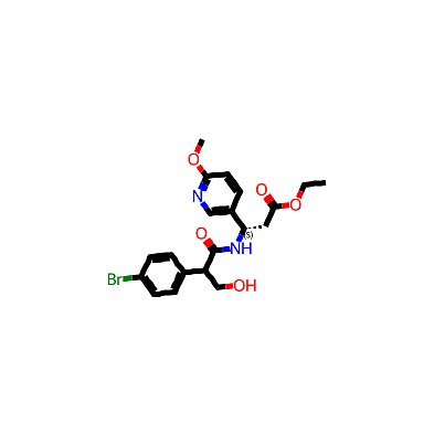 CCOC(=O)C[C@H](NC(=O)C(CO)c1ccc(Br)cc1)c1ccc(OC)nc1